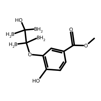 BC(B)(O)C(B)(B)Oc1cc(C(=O)OC)ccc1O